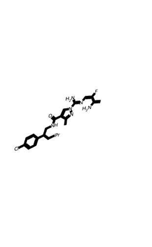 C=C(N)/C(F)=C\N=C(/N)n1cc(C(=O)NCC(CC(C)C)c2ccc(Cl)cc2)c(C)n1